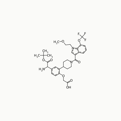 COCCn1cc(C(=O)N2CCC(c3cc(C(N)C(=O)OC(C)(C)C)ccc3OCC(=O)O)CC2)c2cccc(OC(F)(F)F)c21